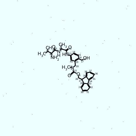 CC(C)[C@H](N)C(=O)N[C@@H](C)C(=O)Nc1ccc(CO)c(CN(C)C(=O)OCC2c3ccccc3-c3ccccc32)c1